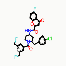 O=C(NC1CCN(C(=O)c2cc(CF)cc(CF)c2)C(Cc2ccc(Cl)cc2)C1)c1cc(=O)c2cc(F)ccc2o1